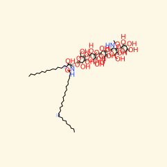 CCCCCCCC/C=C\CCCCCCCCCCCCCCCC(=O)N[C@@H](CO[C@@H]1OC(CO)[C@@H](O[C@@H]2OC(CO)[C@H](O)[C@H](O[C@H]3OC(CO)[C@H](O)[C@H](O[C@@H]4OC(CO)[C@@H](O)[C@H](O[C@H]5OC(C)[C@@H](O)C(O)[C@@H]5O)C4NC(C)=O)C3O)C2O)[C@H](O)C1O)[C@H](O)/C=C/CCCCCCCCCCCCC